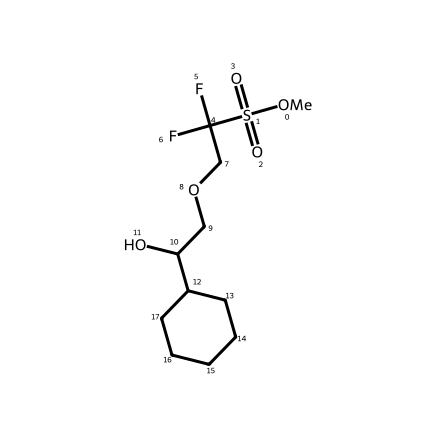 COS(=O)(=O)C(F)(F)COCC(O)C1CCCCC1